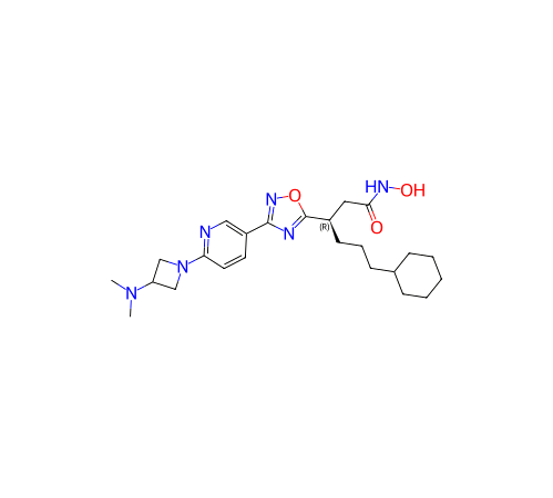 CN(C)C1CN(c2ccc(-c3noc([C@H](CCCC4CCCCC4)CC(=O)NO)n3)cn2)C1